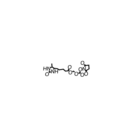 CC1NC(=O)NC1CCCCC(=O)OCOC(=O)ON1C(=O)CCC1=O